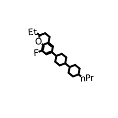 CCCC1CCC(C2CCC(c3cc(F)c4c(c3)CCC(CC)O4)CC2)CC1